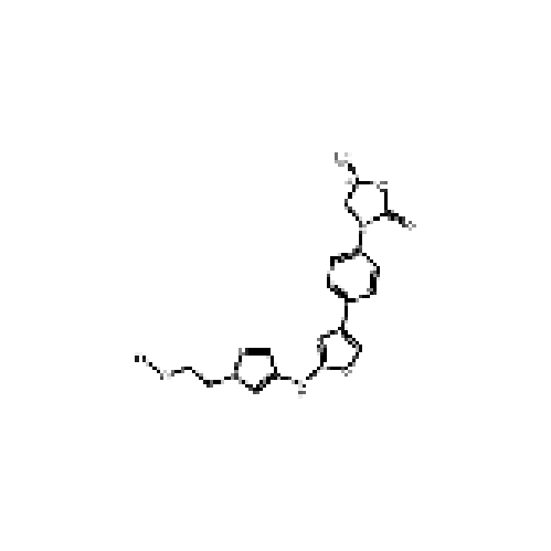 CCOCCn1cc(Nc2nc(-c3ccc(N4C[C@@H](C)OC4=O)cc3)cs2)cn1